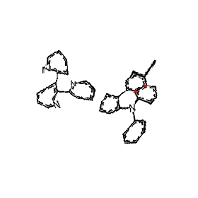 Cc1ccc(-c2ccccc2N(c2ccccc2)c2ccccc2)cc1.c1ccc(-c2cccnc2-c2ccccn2)nc1